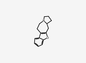 c1ccc2c3c(oc2c1)CC1CCCN1CC3